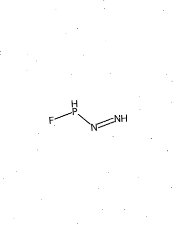 N=NPF